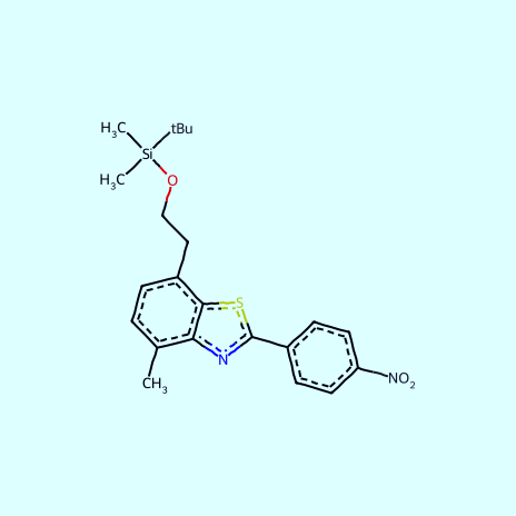 Cc1ccc(CCO[Si](C)(C)C(C)(C)C)c2sc(-c3ccc([N+](=O)[O-])cc3)nc12